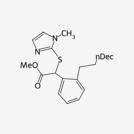 CCCCCCCCCCCCc1ccccc1C(Sc1nccn1C)C(=O)OC